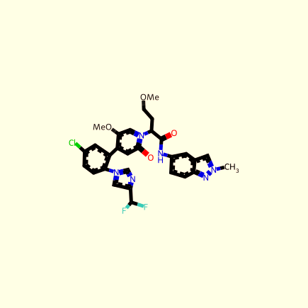 COCCC(C(=O)Nc1ccc2nn(C)cc2c1)n1cc(OC)c(-c2cc(Cl)ccc2-n2cnc(C(F)F)c2)cc1=O